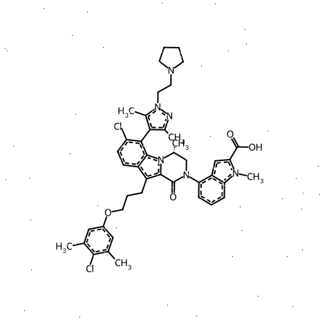 Cc1cc(OCCCc2c3n(c4c(-c5c(C)nn(CCN6CCCC6)c5C)c(Cl)ccc24)[C@H](C)CN(c2cccc4c2cc(C(=O)O)n4C)C3=O)cc(C)c1Cl